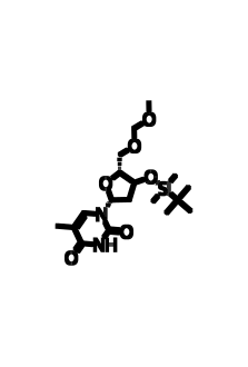 COCOC[C@H]1O[C@@H](n2cc(C)c(=O)[nH]c2=O)CC1O[Si](C)(C)C(C)(C)C